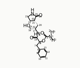 [2H]N([2H])C(=O)O[C@@H](Cc1ccccc1)C(=O)N[C@H](CO)C[C@@H]1CCNC1=O